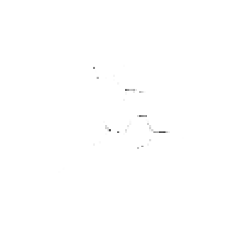 Cc1ccc(C(=O)OCCS(=O)(=O)O)c(OC(=O)C2CCCCC2)c1